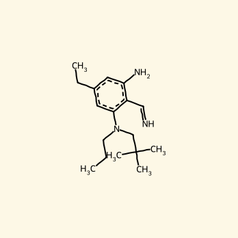 CCCN(CC(C)(C)C)c1cc(CC)cc(N)c1C=N